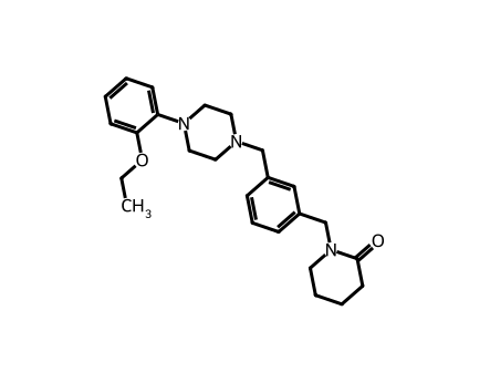 CCOc1ccccc1N1CCN(Cc2cccc(CN3CCCCC3=O)c2)CC1